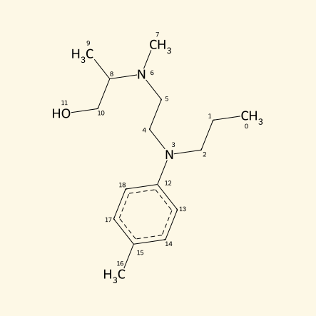 CCCN(CCN(C)C(C)CO)c1ccc(C)cc1